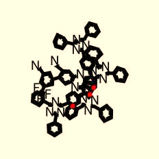 N#Cc1cc(-c2cc(-n3c4cc(-c5nc(-c6ccccc6)nc(-c6ccccc6)n5)ccc4c4ccc(-c5nc(-c6ccccc6)nc(-c6ccccc6)n5)cc43)c(-n3c4cc(-c5nc(-c6ccccc6)nc(-c6ccccc6)n5)ccc4c4ccc(-c5nc(-c6ccccc6)nc(-c6ccccc6)n5)cc43)cc2C#N)cc(C(F)(F)F)c1